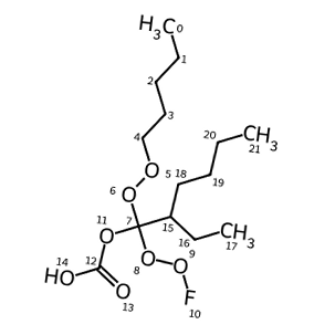 CCCCCOOC(OOF)(OC(=O)O)C(CC)CCCC